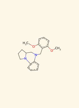 COc1cccc(OC)c1CN1CC2CCCN2c2ccccc21